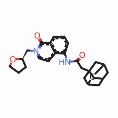 O=C(CC12CC3CC(CC(C3)C1)C2)Nc1cccc2c(=O)n(C[C@H]3CCCO3)ccc12